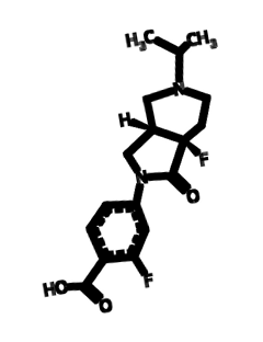 CC(C)N1CC[C@]2(F)C(=O)N(c3ccc(C(=O)O)c(F)c3)C[C@@H]2C1